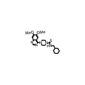 COc1cc2ncnc(N3CCN(C(=S)NCC4CCCCC4)CC3)c2cc1OC